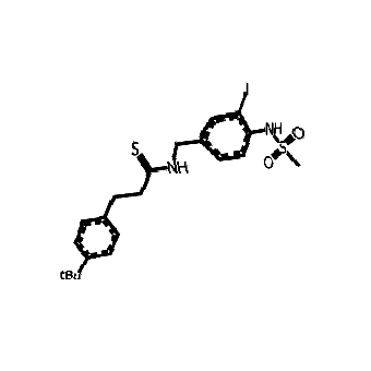 CC(C)(C)c1ccc(CCC(=S)NCc2ccc(NS(C)(=O)=O)c(I)c2)cc1